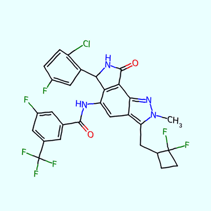 Cn1nc2c3c(c(NC(=O)c4cc(F)cc(C(F)(F)F)c4)cc2c1CC1CCC1(F)F)C(c1cc(F)ccc1Cl)NC3=O